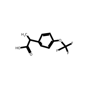 CC(C(=O)O)c1ccc(OC(F)(F)F)cc1